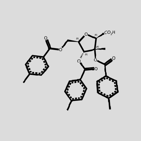 Cc1ccc(C(=O)OC[C@H]2O[C@@H](C(=O)O)[C@](C)(OC(=O)c3ccc(C)cc3)[C@@H]2OC(=O)c2ccc(C)cc2)cc1